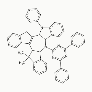 CC1(C)c2ccccc2C2C1C1=C(Cc3ccccc31)C1C(c3ccccc3N1c1ccccc1)N2c1nc(-c2ccccc2)nc(-c2ccccc2)n1